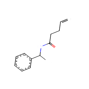 C=CCCC(=O)NC(C)c1ccccc1